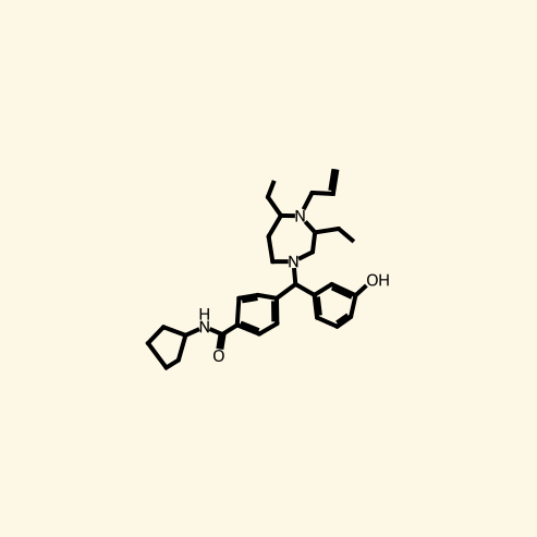 C=CCN1C(CC)CCN(C(c2ccc(C(=O)NC3CCCC3)cc2)c2cccc(O)c2)CC1CC